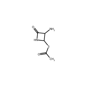 CC(=O)SC1NC(=O)C1N